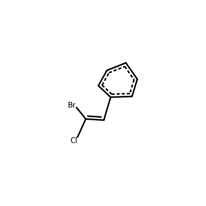 ClC(Br)=Cc1ccccc1